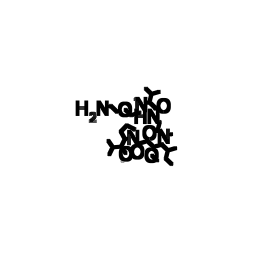 CCC(C)C(C(CC(=O)N1CCCC1C(OC)C(C)C)OC)N(C)C(=O)CNC(=O)C(C(C)C)N(C)CCOCCN